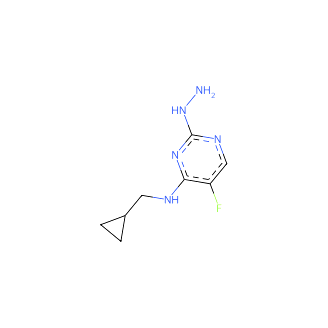 NNc1ncc(F)c(NCC2CC2)n1